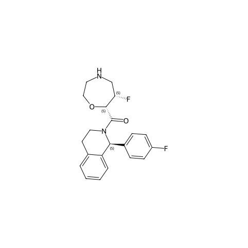 O=C([C@@H]1OCCNC[C@@H]1F)N1CCc2ccccc2[C@@H]1c1ccc(F)cc1